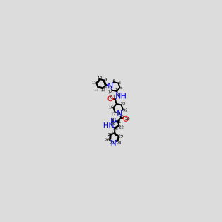 O=C(NC1CCCN(c2ccccc2)C1)C1CCN(C(=O)c2cc(-c3ccncc3)[nH]n2)CC1